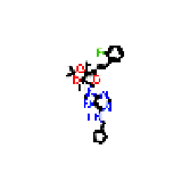 CC1(C)O[C@@H]2[C@H](O1)[C@@H](C=Cc1ccccc1F)O[C@H]2n1cnc2c(NCC3CCCC3)ncnc21